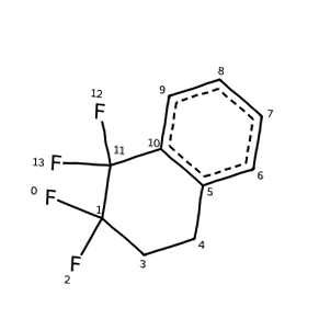 FC1(F)CCc2ccccc2C1(F)F